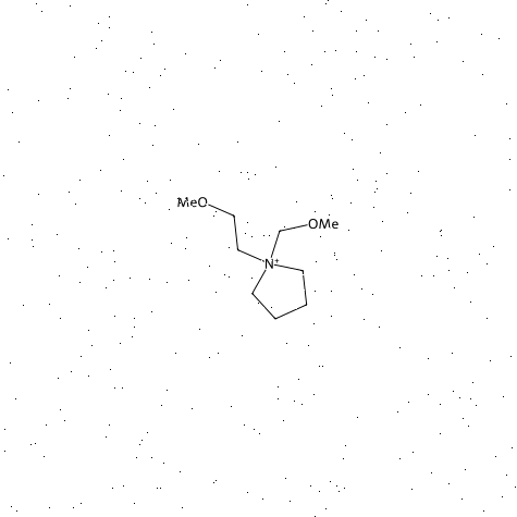 COCC[N+]1(COC)CCCC1